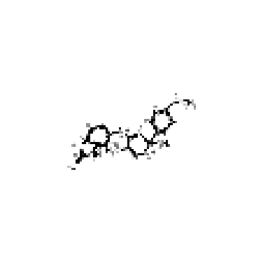 COc1ccc(C2(N)N=C(Nc3ccc4oc(=O)[nH]c4c3)C(C)=CN2)cn1